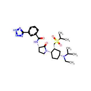 CCN(C(C)C)[C@@H]1CC[C@H](N2CC[C@H](NC(=O)c3cccc(-c4nn[nH]n4)c3)C2=O)[C@H](CS(=O)(=O)C(C)C)C1